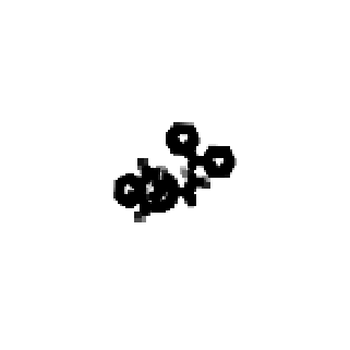 CC(=O)Oc1c2cc(C(C)C(=O)OC(c3ccccc3)c3ccccc3)c(c1OC(C)=O)OC(=O)c1ccccc1C2=O